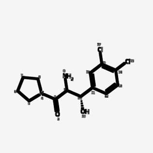 NC(C(=O)N1CCCC1)[C@@H](O)c1ccc(Cl)c(Cl)c1